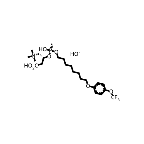 C[N+](C)(C)C[C@@H](CC(=O)O)OP(O)(=S)OCCCCCCCCOc1ccc(OC(F)(F)F)cc1.[OH-]